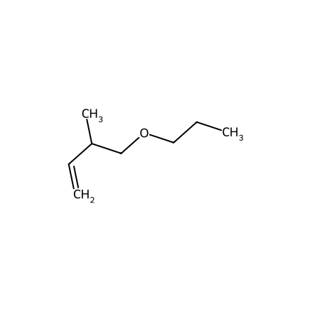 C=CC(C)COCCC